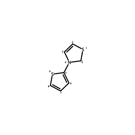 [CH]1SC=CN1c1cccs1